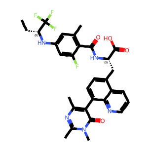 CC[C@@H](Nc1cc(C)c(C(=O)N[C@@H](Cc2ccc(-c3c(C)nc(C)n(C)c3=O)c3ncccc23)C(=O)O)c(F)c1)C(F)(F)F